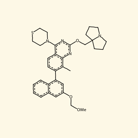 COCOc1cc(-c2ccc3c(N4CCSCC4)nc(OCC45CCCN4CCC5)nc3c2C)c2ccccc2c1